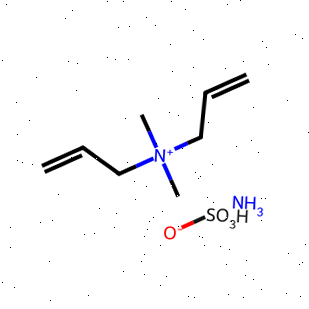 C=CC[N+](C)(C)CC=C.N.O=S(=O)([O-])O